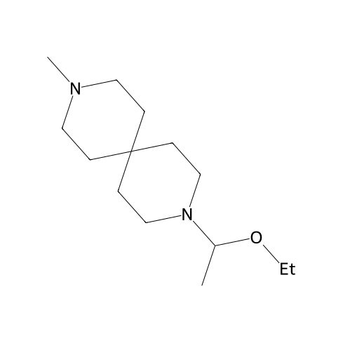 CCOC(C)N1CCC2(CCN(C)CC2)CC1